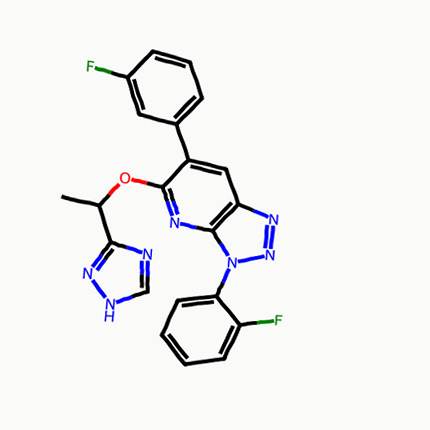 CC(Oc1nc2c(cc1-c1cccc(F)c1)nnn2-c1ccccc1F)c1nc[nH]n1